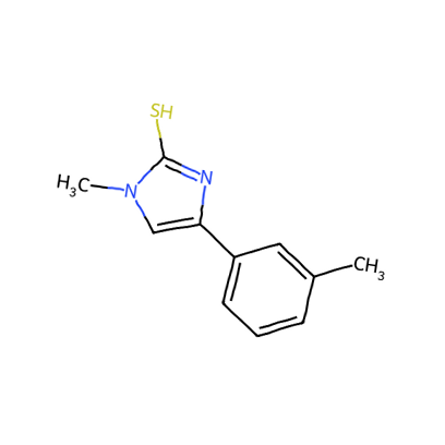 Cc1cccc(-c2cn(C)c(S)n2)c1